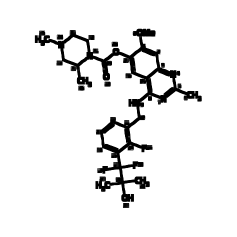 COc1cc2nc(C)nc(NCc3cccc(C(F)(F)C(C)(C)O)c3F)c2cc1OC(=O)N1CCN(C)CC1C